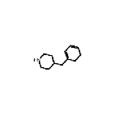 C1=CCCC(CC2CCNCC2)=C1